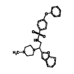 CN1CCN(C(CNS(=O)(=O)c2ccc(Oc3ccccc3)cc2)c2cc3ccccc3o2)CC1